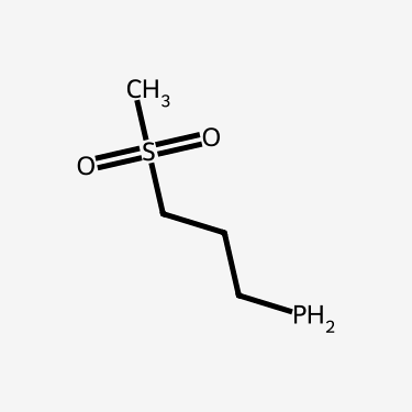 CS(=O)(=O)CCCP